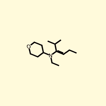 CC/C=C(\C(C)C)N(CC)C1CCOCC1